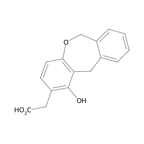 O=C(O)Cc1ccc2c(c1O)Cc1ccccc1CO2